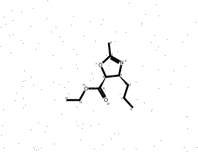 CCC[C@@H]1N=C(C)O[C@@H]1C(=O)OCC